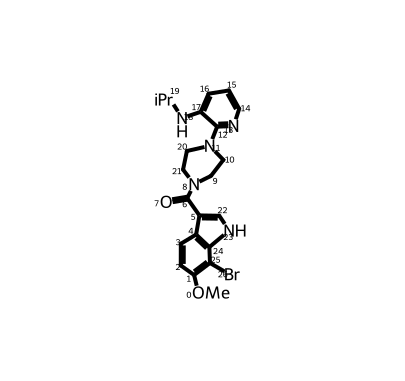 COc1ccc2c(C(=O)N3CCN(c4ncccc4NC(C)C)CC3)c[nH]c2c1Br